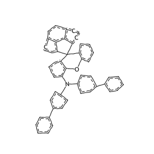 c1ccc(-c2ccc(N(c3ccc(-c4ccccc4)cc3)c3cccc4c3Oc3ccccc3C43c4cccc5ccc6cccc3c6c45)cc2)cc1